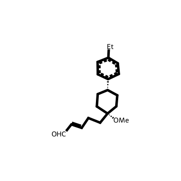 CCc1ccc([C@H]2CC[C@@](CCC=CC=O)(OC)CC2)cc1